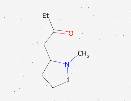 CCC(=O)CC1CCCN1C